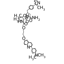 Cc1ncsc1-c1ccc(CC2CC(C(N)=O)N(C(=O)[C@@H](NC(=O)COCCCCOc3ccc4nc(-c5ccc(N(C)C)cc5)ccc4c3)C(C)(C)C)C2)cc1